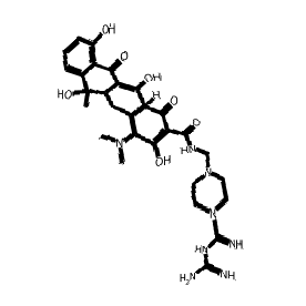 CN(C)C1C(O)=C(C(=O)NCN2CCN(C(=N)NC(=N)N)CC2)C(=O)[C@H]2C(O)=C3C(=O)c4c(O)cccc4C(C)(O)C3CC12